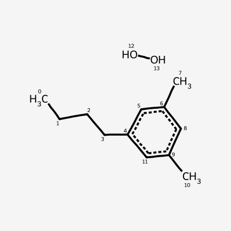 CCCCc1cc(C)cc(C)c1.OO